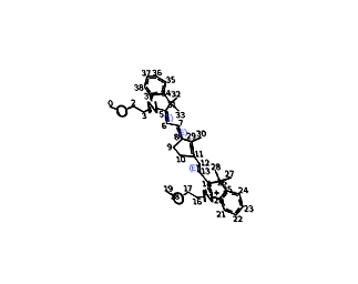 COCCN1/C(=C/C=C2\CCC(/C=C/C3=[N+](CCOC)c4ccccc4C3(C)C)=C2C)C(C)(C)c2ccccc21